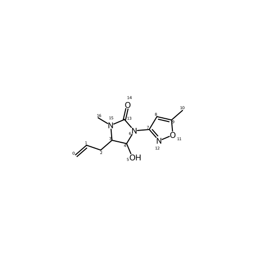 C=CCC1C(O)N(c2cc(C)on2)C(=O)N1C